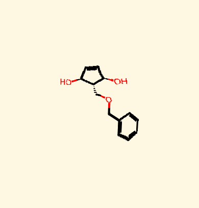 O[C@@H]1C=C[C@H](O)[C@H]1COCc1ccccc1